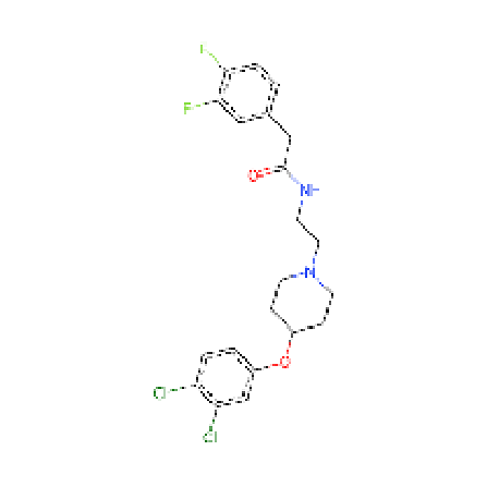 O=C(Cc1ccc(F)c(F)c1)NCCN1CCC(Oc2ccc(Cl)c(Cl)c2)CC1